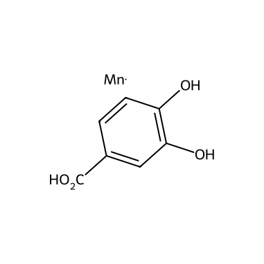 O=C(O)c1ccc(O)c(O)c1.[Mn]